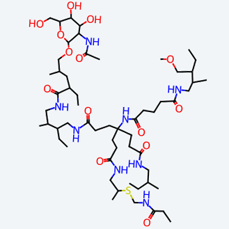 CCC(=O)NCSC(C)CNC(=O)CCC(CCC(=O)NCC(C)CC)(CCC(=O)NCC(CC)C(C)CNC(=O)C(CC)CC(C)COC1OC(CO)C(O)C(O)C1NC(C)=O)NC(=O)CCCC(=O)NCC(C)C(CC)COC